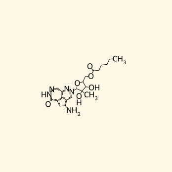 CCCCCC(=O)OCC1OC(n2cc3c(N)cc4c(=O)[nH]ncc(n2)c34)C(C)(O)C1O